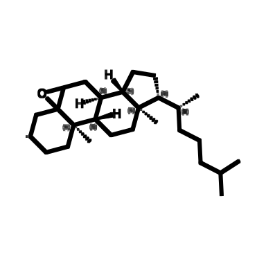 CC(C)CCC[C@@H](C)[C@H]1CC[C@H]2[C@@H]3CC4OC45C[CH]CC[C@]5(C)[C@H]3CC[C@]12C